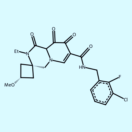 CCN1C(=O)C2C(=O)C(=O)C(C(=O)NCc3cccc(Cl)c3F)=CN2C[C@]12C[C@@H](OC)C2